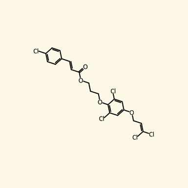 O=C(C=Cc1ccc(Cl)cc1)OCCCOc1c(Cl)cc(OCC=C(Cl)Cl)cc1Cl